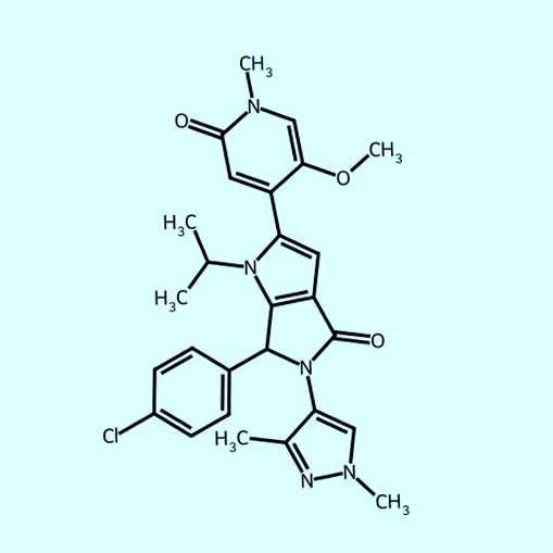 COc1cn(C)c(=O)cc1-c1cc2c(n1C(C)C)C(c1ccc(Cl)cc1)N(c1cn(C)nc1C)C2=O